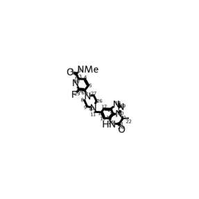 CNC(=O)c1ccc(N2CCN(Cc3cc4c5c(c3)nnn5[C@@H](C)C(=O)N4)CC2)c(F)n1